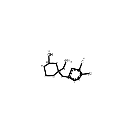 NCC1(Cc2ccc(Cl)c(Cl)c2)CCCC(O)C1